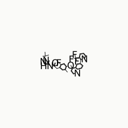 Cc1cc(CC(=O)Nc2cnn(C(C)(C)C)c2)c(F)cc1Oc1ccnc2ccc(-c3ncccc3C(F)(F)F)cc12